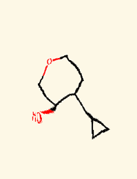 OC1COCCC1C1CC1